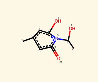 Cc1cc(O)n(C(C)O)c(=O)c1